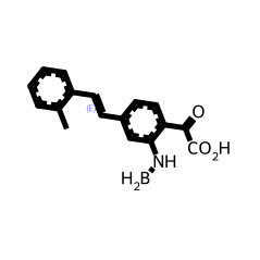 BNc1cc(/C=C/c2ccccc2C)ccc1C(=O)C(=O)O